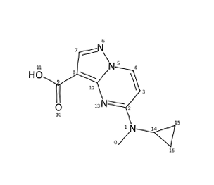 CN(c1ccn2ncc(C(=O)O)c2n1)C1CC1